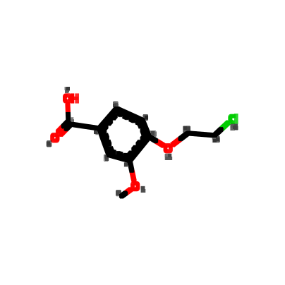 COc1cc(C(=O)O)ccc1OCCCl